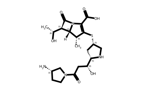 C[C@@H](O)[C@H]1C(=O)N2C(C(=O)O)=C(S[C@@H]3CN[C@H]([C@H](O)CC(=O)N4CC[C@H](N)C4)C3)[C@H](C)[C@H]12